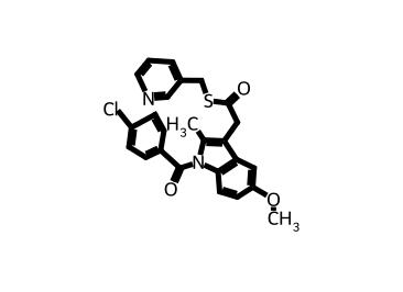 COc1ccc2c(c1)c(CC(=O)SCc1cccnc1)c(C)n2C(=O)c1ccc(Cl)cc1